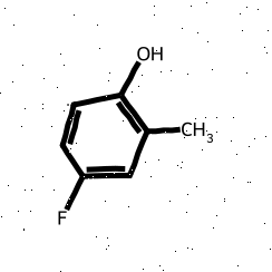 Cc1cc(F)c[c]c1O